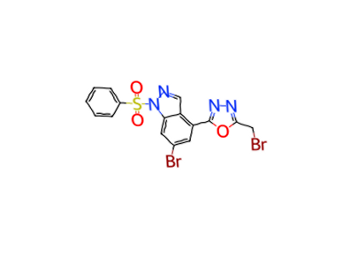 O=S(=O)(c1ccccc1)n1ncc2c(-c3nnc(CBr)o3)cc(Br)cc21